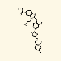 COCCn1c(Cc2ccc(-c3nc(OCc4ccc(C)cc4F)cs3)cc2F)nc2ccc(C(=O)O)cc21